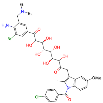 CCN(CC)Cc1cc(C(=O)C(O)[C@@H](O)[C@@H](O)[C@H](O)[C@H](O)C(O)C(=O)Cc2c(C)n(C(=O)c3ccc(Cl)cc3)c3ccc(OC)cc23)cc(Br)c1N